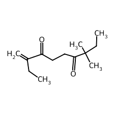 C=C(CC)C(=O)CCC(=O)C(C)(C)CC